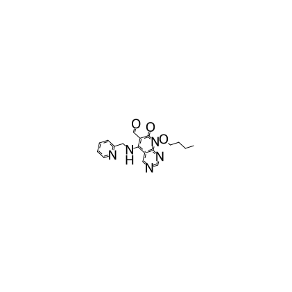 CCCCOn1c(=O)c(C=O)c(NCc2ccccn2)c2cncnc21